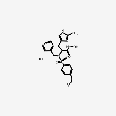 COc1ccc(S(=O)(=O)N(Cc2cccnc2)C(Cc2c[nH]c(C)n2)C(=O)NO)cc1.Cl